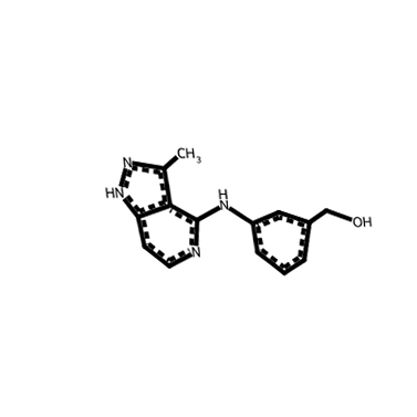 Cc1n[nH]c2ccnc(Nc3cccc(CO)c3)c12